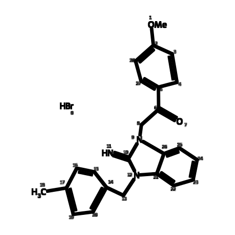 Br.COc1ccc(C(=O)Cn2c(=N)n(Cc3ccc(C)cc3)c3ccccc32)cc1